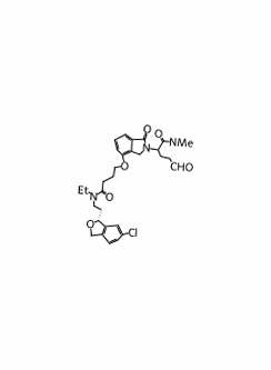 CCN(CC[C@H]1OCc2ccc(Cl)cc21)C(=O)CCCOc1cccc2c1CN(C(CCC=O)C(=O)NC)C2=O